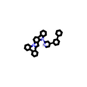 c1ccc(-c2cccc(-c3ccnc(-n4c5ccccc5c5ccc6c(cc7c8ccccc8c8ccccc8n76)c54)c3)c2)cc1